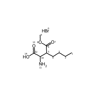 Br.CCCCC(C(=O)OC)C(N)C(=O)O